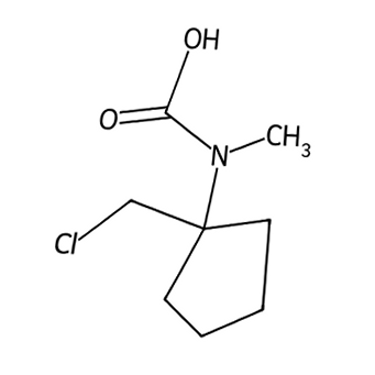 CN(C(=O)O)C1(CCl)CCCC1